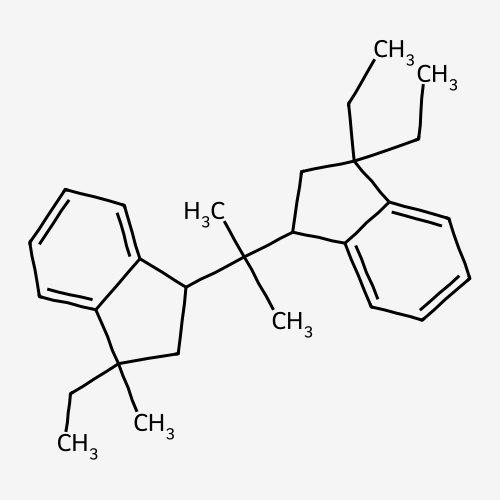 CCC1(C)CC(C(C)(C)C2CC(CC)(CC)c3ccccc32)c2ccccc21